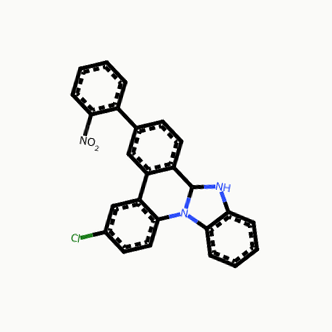 O=[N+]([O-])c1ccccc1-c1ccc2c(c1)-c1cc(Cl)ccc1N1c3ccccc3NC21